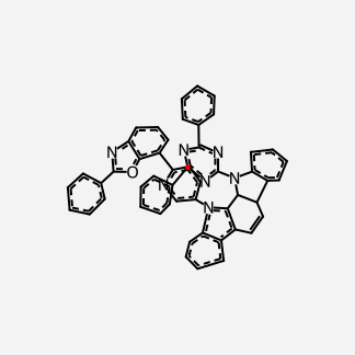 C1=CC2c3ccccc3N(c3nc(-c4ccccc4)nc(-c4ccccc4)n3)C2c2c1c1ccccc1n2-c1ccc(-c2cccc3nc(-c4ccccc4)oc23)nc1